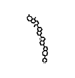 C=CC(/C=C\c1ccc2c(c1C)CC(=C)CC=C2)c1ccc2cc(-c3ccc4cc(-c5ccc6c(c5)CC=C(c5ccncc5)C=C6)ccc4n3)ccc2c1